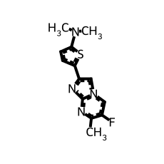 Cc1nc2nc(-c3ccc(N(C)C)s3)cn2cc1F